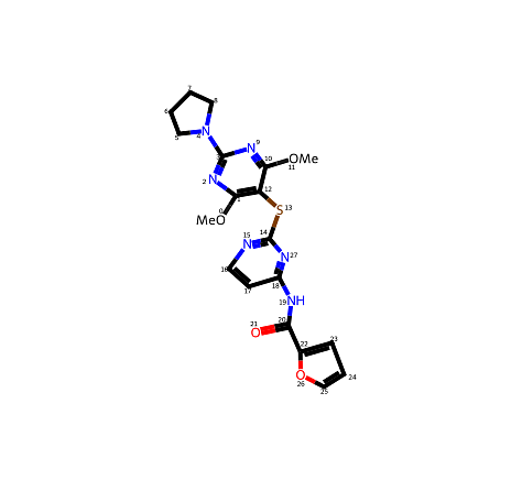 COc1nc(N2CCCC2)nc(OC)c1Sc1nccc(NC(=O)c2ccco2)n1